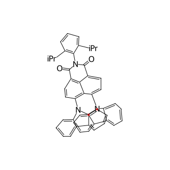 CC(C)c1cccc(C(C)C)c1N1C(=O)c2ccc(-n3c4ccccc4c4ccccc43)c3c(-n4c5ccccc5c5ccccc54)ccc(c23)C1=O